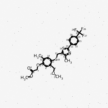 COCc1cc(OCC(=O)OC)c(C)cc1SCc1sc(-c2ccc(C(F)(F)F)cc2)nc1C